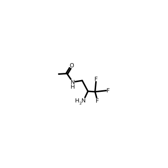 CC(=O)NCC(N)C(F)(F)F